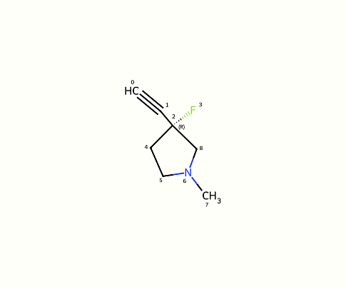 C#C[C@]1(F)CCN(C)C1